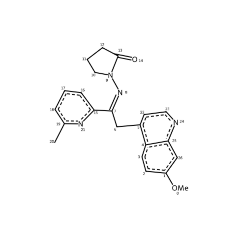 COc1ccc2c(CC(=NN3CCCC3=O)c3cccc(C)n3)ccnc2c1